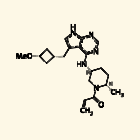 C=CC(=O)N1C[C@H](Nc2ncnc3[nH]cc(C[C@H]4C[C@@H](OC)C4)c23)CC[C@@H]1C